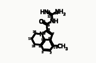 Cc1ccc2c3c1cc(C(=O)NC(=N)N)n3CCC2